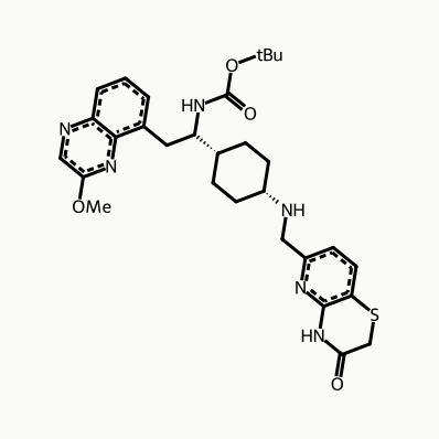 COc1cnc2cccc(CC(NC(=O)OC(C)(C)C)[C@H]3CC[C@@H](NCc4ccc5c(n4)NC(=O)CS5)CC3)c2n1